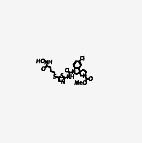 COC(=O)N1CCC2(C1)CN(C(=O)Nc1ncc(SCCCC(=O)NO)s1)c1ccc(Cl)cc12